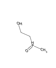 C[PH](=O)CCO